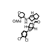 CO[C@@H]1COCC[C@@H]1N[C@@H]1C[C@H]2CCC[C@@]2(C(=O)N2C[C@@H]3C[C@H]2CN3c2ccc(Cl)c(Cl)c2)C1